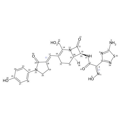 Nc1nc(/C(=N/O)C(=O)N[C@@H]2C(=O)N3C(C(=O)O)=C(/C=C4\CCN(c5ccc(O)cc5)C4=O)CC[C@H]23)ns1